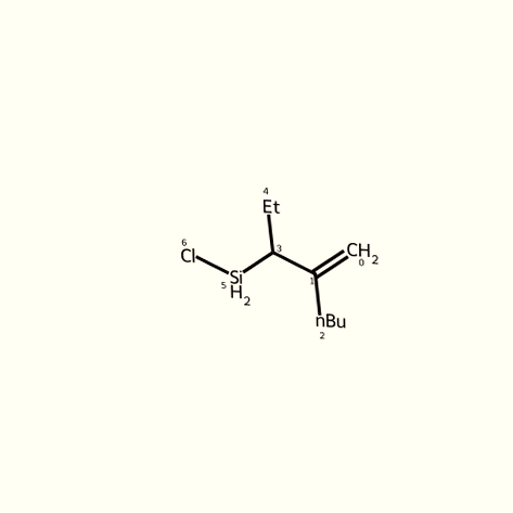 C=C(CCCC)C(CC)[SiH2]Cl